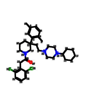 Cc1ccc(C)c([C@@]2(CCN3CCN(C4CCCCC4)CC3)CCCN(C(=O)Cc3c(F)cccc3Cl)C2)c1